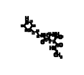 CCNC(=O)c1cc(C(=O)NCCCC2CCNCC2)c[nH]c1=O